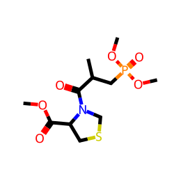 COC(=O)C1CSCN1C(=O)C(C)CP(=O)(OC)OC